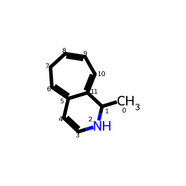 CC1NC=CC2=CCC=CC=C21